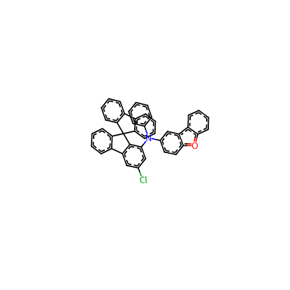 Clc1cc2c(c(N(c3ccccc3)c3ccc4oc5ccccc5c4c3)c1)C1(c3ccccc3-c3ccccc31)c1ccccc1-2